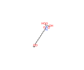 CC(C)(C)OC(=O)CCCCCCCCCCCCCCCCC(=O)NC(CC(=O)O)CC(=O)O